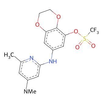 CNc1cc(C)nc(Nc2cc3c(c(OS(=O)(=O)C(F)(F)F)c2)OCCO3)c1